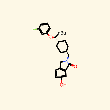 CCCCC(Oc1cccc(F)c1)[C@H]1CC[C@H](CN2Cc3ccc(O)cc3C2=O)CC1